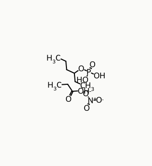 CCC(=O)O.CCCC(CC)OP(=O)(O)O.[O][N+](=O)[O-]